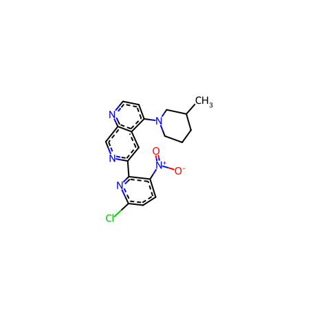 CC1CCCN(c2ccnc3cnc(-c4nc(Cl)ccc4[N+](=O)[O-])cc23)C1